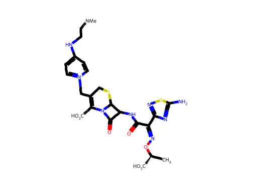 CNCCNc1cc[n+](CC2=C(C(=O)O)N3C(=O)C(NC(=O)/C(=N\O[C@@H](C)C(=O)O)c4nsc(N)n4)C3SC2)cc1